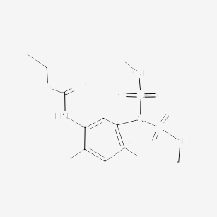 CCOC(=O)Nc1cc(N(S(=O)(=O)NC)S(=O)(=O)NC)c(Cl)cc1F